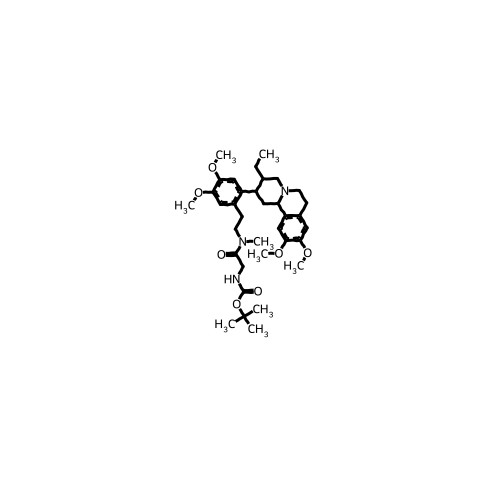 CCC1CN2CCc3cc(OC)c(OC)cc3C2CC1c1cc(OC)c(OC)cc1CCN(C)C(=O)CNC(=O)OC(C)(C)C